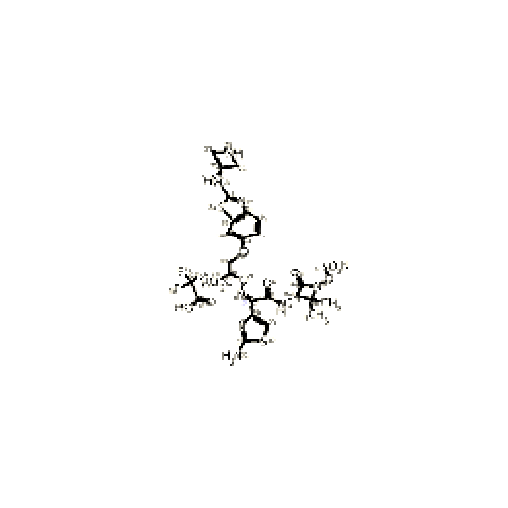 CC1(C)[C@H](NC(=O)/C(=N\OC(COc2ccc3nc(NC4CNC4)sc3c2)C(=O)O)c2csc(N)n2)C(=O)N1OS(=O)(=O)O.O=C(O)C(F)(F)F